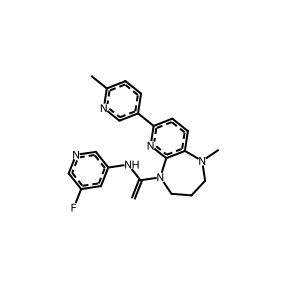 C=C(Nc1cncc(F)c1)N1CCCN(C)c2ccc(-c3ccc(C)nc3)nc21